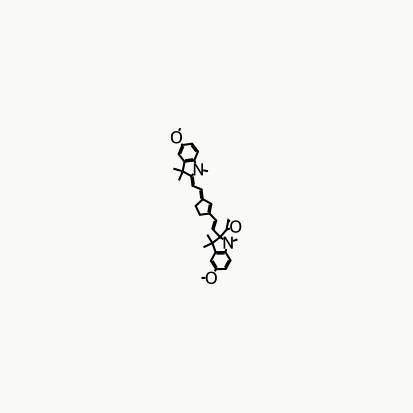 COc1ccc2c(c1)C(C)(C)/C(=C/C=C1C=C(/C=C/C3(C4CO4)N(C)c4ccc(OC)cc4C3(C)C)CC/1)N2C